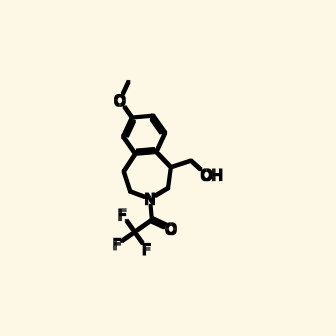 COc1ccc2c(c1)CCN(C(=O)C(F)(F)F)CC2CO